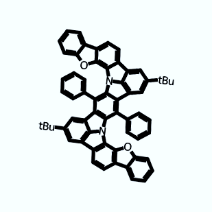 CC(C)(C)c1cc2c3ccc4c5ccccc5oc4c3n3c4c(-c5ccccc5)c5c6cc(C(C)(C)C)cc7c8ccc9c%10ccccc%10oc9c8n(c5c(-c5ccccc5)c4c(c1)c23)c76